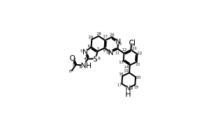 CC(=O)Nc1nc2c(s1)-c1nc(-c3cc(C4CCNCC4)ccc3Cl)ncc1CC2